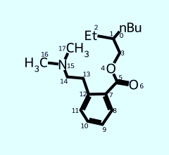 CCCCC(CC)COC(=O)c1ccccc1CCN(C)C